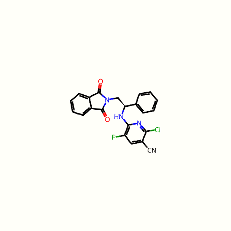 N#Cc1cc(F)c(N[C@@H](CN2C(=O)c3ccccc3C2=O)c2ccccc2)nc1Cl